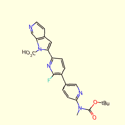 CN(C(=O)OC(C)(C)C)c1ccc(-c2ccc(-c3cc4ccncc4n3C(=O)O)nc2F)cn1